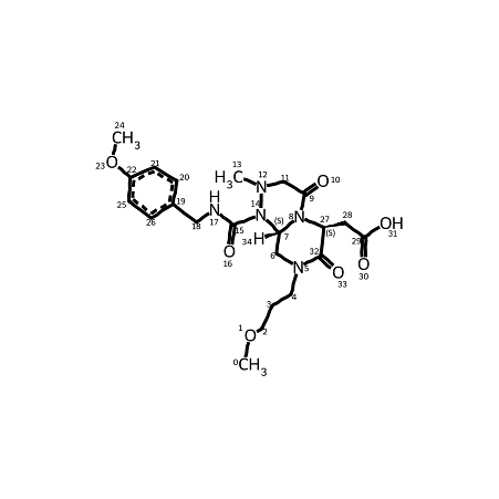 COCCCN1C[C@H]2N(C(=O)CN(C)N2C(=O)NCc2ccc(OC)cc2)[C@@H](CC(=O)O)C1=O